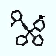 Fc1ccccc1C#C[P+](c1ccccc1)(c1ccccc1)c1ccccc1.[Br-]